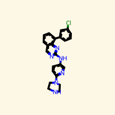 Clc1cccc(-c2cccc3cnc(Nc4ccc(N5CCNCC5)nc4)nc23)c1